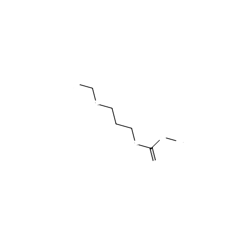 CCOC(=O)CNCCCNC(=O)OC(C)(C)C